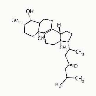 CC(C)CC(=O)CC(C)[C@H]1CC[C@H]2C3=C(CC[C@]12C)[C@@]1(C)CC[C@H](O)[C@H](O)C1CC3